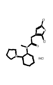 CN(C(=O)Cc1cc(Cl)sc1Cl)C1CCCCC1N1CCCC1.Cl